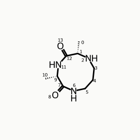 C[C@@H]1NCCCNC(=O)[C@H](C)NC1=O